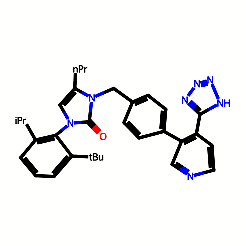 CCCc1cn(-c2c(C(C)C)cccc2C(C)(C)C)c(=O)n1Cc1ccc(-c2cnccc2-c2nnn[nH]2)cc1